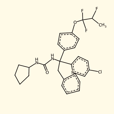 CC(F)C(F)(F)Oc1ccc(C(Cc2ccccc2)(NC(=O)NC2CCCC2)c2ccc(Cl)cn2)cc1